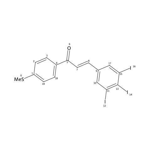 CSc1ccc(C(=O)C=Cc2cc(I)c(I)c(I)c2)cc1